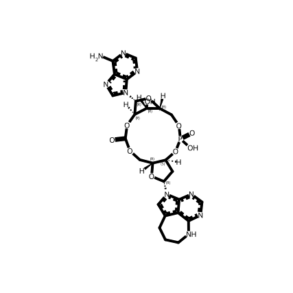 Nc1ncnc2c1ncn2[C@@H]1O[C@@H]2COP(=O)(O)O[C@H]3C[C@H](n4cc5c6c(ncnc64)NCCC5)O[C@@H]3COC(=O)O[C@@H]1[C@@H]2O